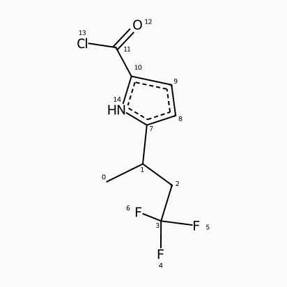 CC(CC(F)(F)F)c1ccc(C(=O)Cl)[nH]1